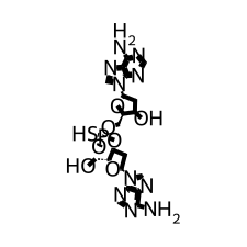 Nc1ncnc2c1ncn2[C@H]1CC(O)[C@@H](COP(=O)(S)OC2C[C@H](n3cnc4c(N)ncnc43)O[C@@H]2CO)O1